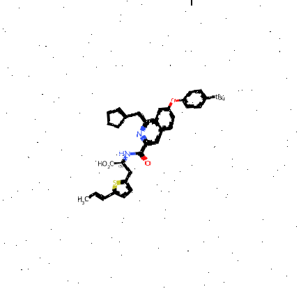 CC=Cc1ccc(C[C@H](NC(=O)c2cc3ccc(Oc4ccc(C(C)(C)C)cc4)cc3c(CC3CCCC3)n2)C(=O)O)s1